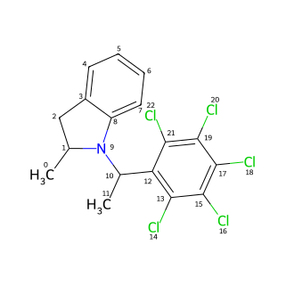 CC1Cc2ccccc2N1C(C)c1c(Cl)c(Cl)c(Cl)c(Cl)c1Cl